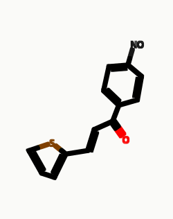 O=Nc1ccc(C(=O)/C=C/c2cccs2)cc1